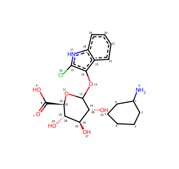 NC1CCCCC1.O=C(O)[C@H]1OC(Oc2c(Cl)[nH]c3ccccc23)[C@H](O)[C@@H](O)[C@@H]1O